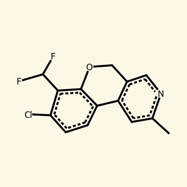 Cc1cc2c(cn1)COc1c-2ccc(Cl)c1C(F)F